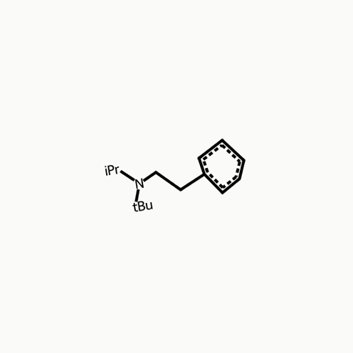 CC(C)N(CCc1ccccc1)C(C)(C)C